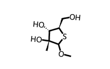 COC1S[C@H](CO)[C@@H](O)[C@@]1(C)O